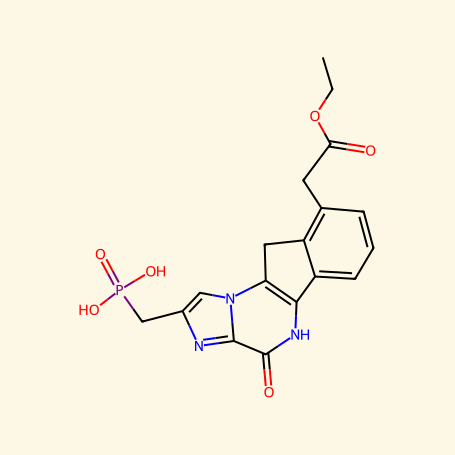 CCOC(=O)Cc1cccc2c1Cc1c-2[nH]c(=O)c2nc(CP(=O)(O)O)cn12